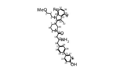 COCCCn1c(C2CCCN(C(=O)CC(N)Cc3ccc(-c4ccc(O)nc4)cc3)C2)c(C)c2c(F)ccc(F)c21